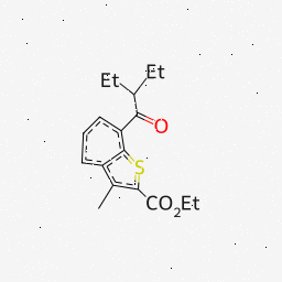 CCOC(=O)c1sc2c(C(=O)C(CC)CC)cccc2c1C